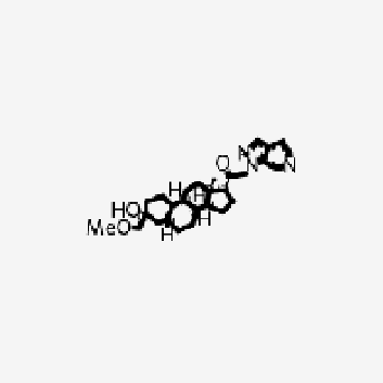 COC[C@@]1(O)CCC2[C@H](CC[C@@H]3[C@@H]2CC[C@]2(C)[C@@H](C(=O)Cn4ncc5ccncc54)CC[C@@H]32)C1